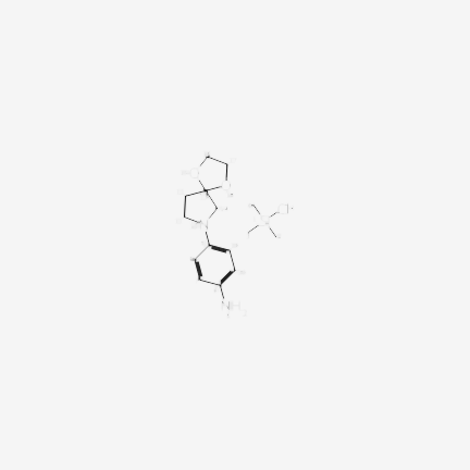 C[Si](C)(C)Cl.Nc1ccc(N2CCC3(C2)OCCO3)cc1